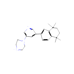 CC1(C)CCC(C)(C)c2cc(-c3cncc(N4CCNCC4)c3)ccc21